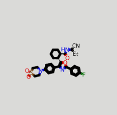 CCC(C#N)NC(=O)[C@@H]1CCCC[C@H]1c1oc(-c2ccc(F)cc2)nc1-c1ccc(N2CCS(=O)(=O)CC2)cc1